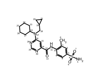 Cc1cc(S(N)(=O)=O)ccc1NC(=O)c1cc(N(CC2CC2)C2CCCCC2)ncn1